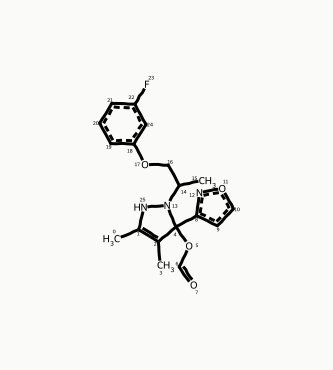 CC1=C(C)C(OC=O)(c2ccon2)N(C(C)COc2cccc(F)c2)N1